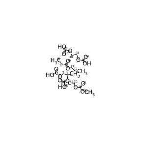 CC(COC(=O)O)OC(=O)O.CCCOC(=O)CC.CCOC(=O)OC.O=C(O)OCCOC(=O)O